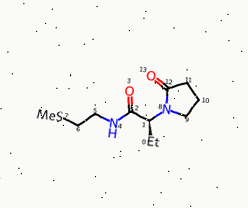 CC[C@@H](C(=O)NCCSC)N1CCCC1=O